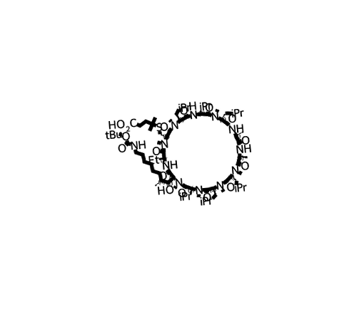 CC[C@@H]1NC(=O)[C@H]([C@H](O)[C@H](C)CCCCCCNC(=O)OC(C)(C)C)N(C)C(=O)[C@H](C(C)C)N(C)C(=O)[C@H](CC(C)C)N(C)C(=O)[C@@H](CC(C)C)N(C)C(=O)[C@H](C)NC(=O)[C@@H](C)NC(=O)[C@@H](CC(C)C)N(C)C(=O)[C@@H](C(C)C)NC(=O)[C@H](CC(C)C)N(C)C(=O)[C@@H](CSC(C)(C)CCC(=O)O)N(C)C1=O